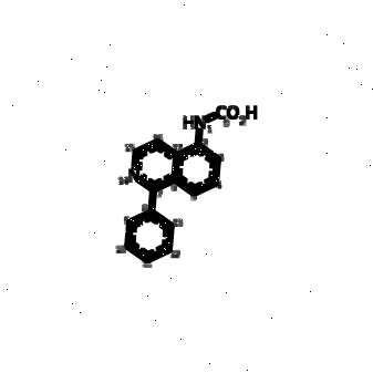 O=C(O)Nc1cccc2c(-c3ccccc3)nccc12